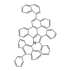 c1ccc(-c2c3ccccc3c(-n3c(-c4ccccc4)c(-c4ccccc4)c4c5c6ccccc6c(-c6cccc7ccccc67)cc5c5ccccc5c43)c3ccccc23)cc1